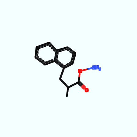 CC(Cc1cccc2ccccc12)C(=O)ON